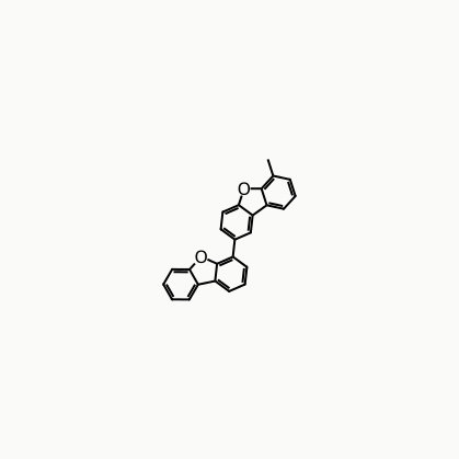 Cc1cccc2c1oc1ccc(-c3cccc4c3oc3ccccc34)cc12